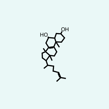 CC(C)=CCCC(C)C1CCC2(C)C3=C(CCC12C)C1(C)CCC(O)CC1C(O)C3